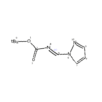 CC(C)(C)OC(=O)/N=[C]/n1cccn1